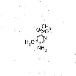 Cc1cc(S(C)(=O)=O)ncc1N